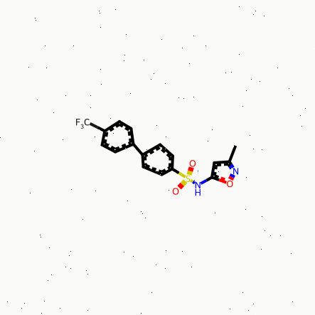 Cc1cc(NS(=O)(=O)c2ccc(-c3ccc(C(F)(F)F)cc3)cc2)on1